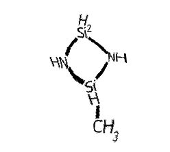 C[SiH]1N[SiH2]N1